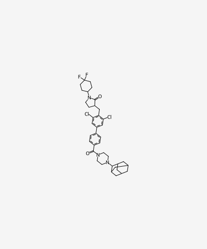 O=C(c1ccc(-c2cc(Cl)c(CC3CCN(C4CCC(F)(F)CC4)C3=O)c(Cl)c2)cc1)N1CCN(C2C3CC4CC(C3)CC2C4)CC1